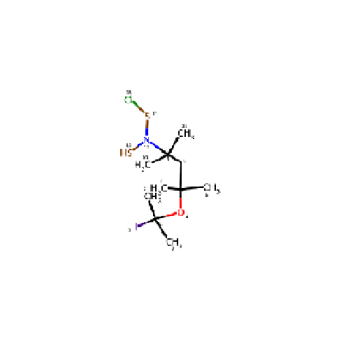 CC(C)(I)OC(C)(C)CC(C)(C)N(S)SCl